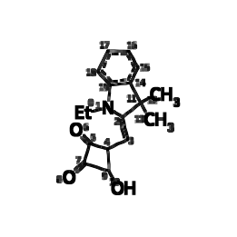 CCN1C(=CC2C(=O)C(=O)C2O)C(C)(C)c2ccccc21